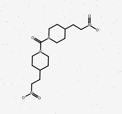 O=C(N1CCC(CC[N+](=O)[O-])CC1)N1CCC(CC[N+](=O)[O-])CC1